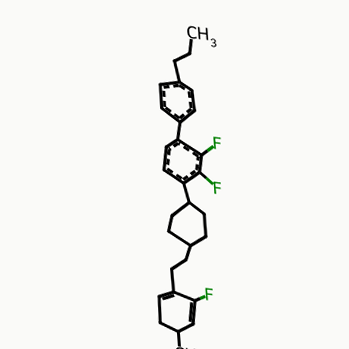 CCCc1ccc(-c2ccc(C3CCC(CCC4=CCC(C)C=C4F)CC3)c(F)c2F)cc1